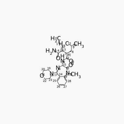 C=CC[C@H](C(N)=O)[C@@H](CC(C)C)C(=O)NC1N=C(N2CCOCC2)c2ccccc2N(C)C1=O